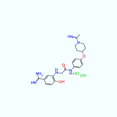 CC(=N)N1CCC(Oc2ccc(NC(=O)CNc3cc(C(=N)N)ccc3O)cc2)CC1.Cl.Cl